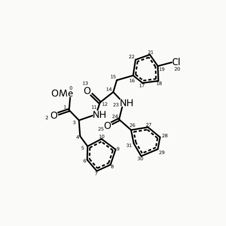 COC(=O)C(Cc1ccccc1)NC(=O)C(Cc1ccc(Cl)cc1)NC(=O)c1ccccc1